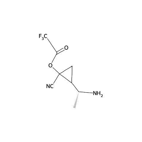 C[C@@H](N)C1CC1(C#N)OC(=O)C(F)(F)F